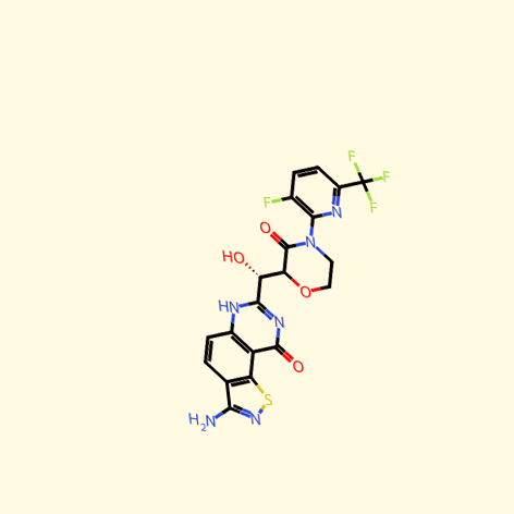 Nc1nsc2c1ccc1[nH]c([C@H](O)C3OCCN(c4nc(C(F)(F)F)ccc4F)C3=O)nc(=O)c12